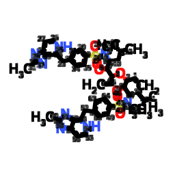 C=CC(OC(C=C)C(=O)[C@H](CC(C)C)N(C)S(=O)(=O)c1ccc(Cc2[nH]ccc3nc(C)nc2-3)cc1)C(=O)[C@H](CC(C)C)N(C)S(=O)(=O)c1ccc(Cc2[nH]ccc3nc(C)nc2-3)cc1